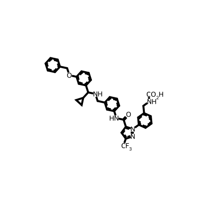 O=C(O)NCc1cccc(-n2nc(C(F)(F)F)cc2C(=O)Nc2cccc(CNC(c3cccc(OCc4ccccc4)c3)C3CC3)c2)c1